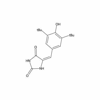 CC(C)(C)c1cc(C=C2NC(=O)NC2=O)cc(C(C)(C)C)c1O